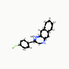 Fc1ccc(-c2cnc3cc4ccccc4cc3n2)cc1